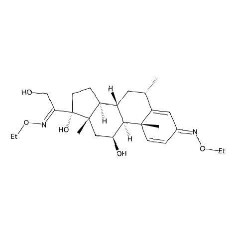 CCO/N=C1\C=C[C@@]2(C)C(=C1)[C@@H](C)C[C@@H]1[C@@H]2[C@@H](O)C[C@@]2(C)[C@H]1CC[C@]2(O)/C(CO)=N/OCC